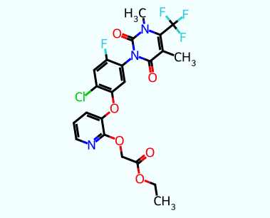 CCOC(=O)COc1ncccc1Oc1cc(-n2c(=O)c(C)c(C(F)(F)F)n(C)c2=O)c(F)cc1Cl